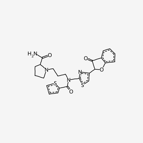 NC(=O)C1CCCN1CCCN(C(=O)c1cccs1)c1nc(C2Oc3ccccc3C2=O)cs1